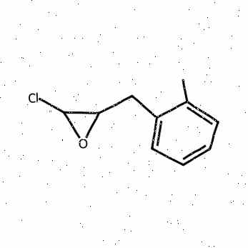 Cc1ccccc1CC1OC1Cl